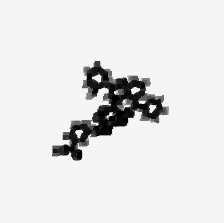 Cc1ccccc1C(=O)CN1C(=O)C(NC(=O)Nc2cccc(C(=O)O)c2)N=C(c2ccccc2)c2ccccc21